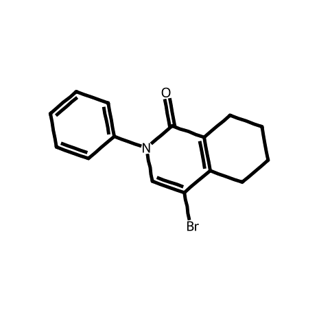 O=c1c2c(c(Br)cn1-c1ccccc1)CCCC2